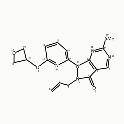 C=CCn1c(=O)c2cnc(SC)nc2n1-c1cccc(OC2COC2)n1